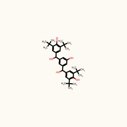 CC(C)(C)c1cc(C(O)c2cc(O)cc(C(O)c3cc(C(C)(C)C)c(O)c(C(C)(C)C)c3)c2)cc(C(C)(C)C)c1O